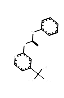 CC(C)(C)c1ccnc(OC(=O)Nc2ccccc2)c1